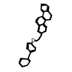 C1=c2ccc3c(c2=CCC1COc1ccc(C2CCCCC2)cc1)CCc1ccccc1-3